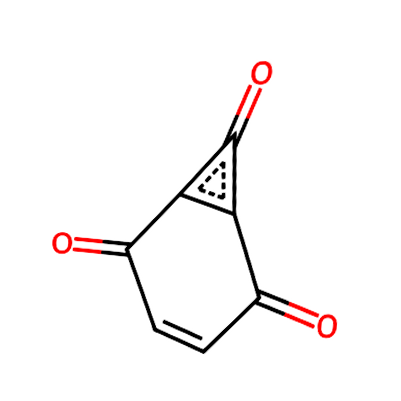 O=C1C=CC(=O)c2c1c2=O